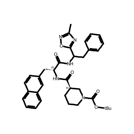 Cc1noc(C(Cc2ccccc2)NC(=O)[C@@H](Cc2ccc3ccccc3c2)NC(=O)[C@@H]2CCCN(C(=O)OC(C)(C)C)C2)n1